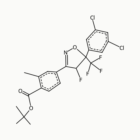 Cc1cc(C2=NOC(c3cc(Cl)cc(Cl)c3)(C(F)(F)F)C2F)ccc1C(=O)OC(C)(C)C